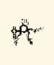 CC1CC(CN=[N+]=[N-])(CN=[N+]=[N-])CC(CN=[N+]=[N-])(C2=NCN2)C1